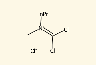 CCC[N+](C)=C(Cl)Cl.[Cl-]